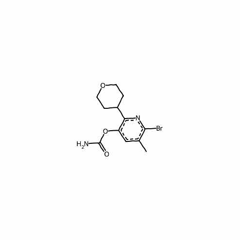 Cc1cc(OC(N)=O)c(C2CCOCC2)nc1Br